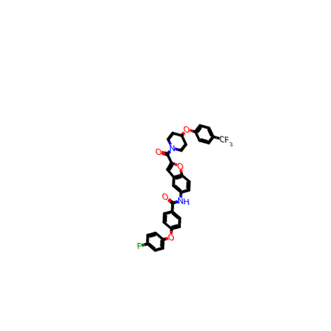 O=C(Nc1ccc2oc(C(=O)N3CCC(Oc4ccc(C(F)(F)F)cc4)CC3)cc2c1)c1ccc(Oc2ccc(F)cc2)cc1